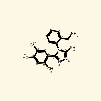 NCc1ccccc1-n1c(S)nnc1-c1cc(Br)c(O)cc1O